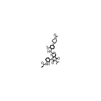 C=CC(=O)Nc1cccc(-n2c(=O)n(C(C)C)c(=O)c3cnc(Nc4ccc(N5CCN(C(C)=O)CC5)cc4OC)nc32)c1